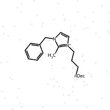 CCCCCCCCCCCCC[n+]1ccn(Cc2ccccc2)c1C